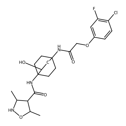 CC1NOC(C)C1C(=O)NC12CCC(NC(=O)COc3ccc(Cl)c(F)c3)(CC1)CC2O